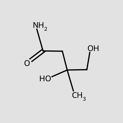 CC(O)(CO)CC(N)=O